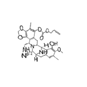 C=CCOC(=O)Oc1c(C)c2c(c3c1CC1[C@@H]4N[C@H](Cc5cc(C)c(OC)c(O)c54)[C@H](C#N)N1[C@H]3CN)OCO2